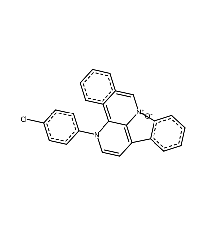 [O-][N+]12C=c3ccccc3=C3C1=C(C=CN3c1ccc(Cl)cc1)c1ccccc12